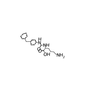 NCCCCC(NC(=O)Nc1ccc(Cc2ccccc2)cc1)C(=O)O